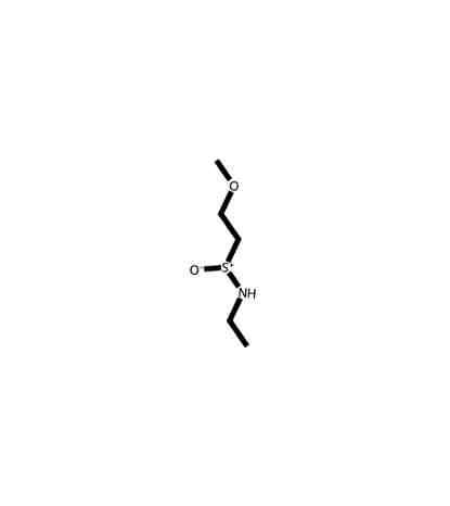 CCN[S+]([O-])CCOC